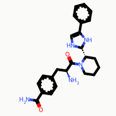 NC(=O)c1ccc(C[C@H](N)C(=O)N2CCCC[C@H]2C2NC=C(c3ccccc3)N2)cc1